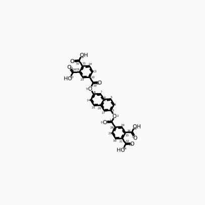 O=C(Oc1ccc2cc(OC(=O)c3ccc(C(=O)O)c(C(=O)O)c3)ccc2c1)c1ccc(C(=O)O)c(C(=O)O)c1